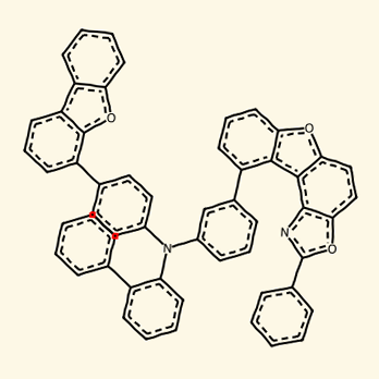 c1ccc(-c2nc3c(ccc4oc5cccc(-c6cccc(N(c7ccc(-c8cccc9c8oc8ccccc89)cc7)c7ccccc7-c7ccccc7)c6)c5c43)o2)cc1